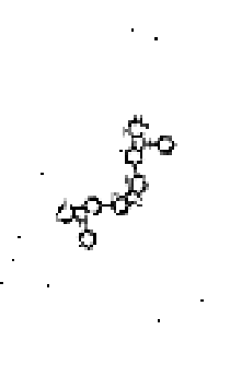 c1ccc(-n2c3cc(-c4ccc5oc6ccc(-c7ccc8c9ncnnc9n(-c9ccccc9)c8c7)nc6c5n4)ccc3c3ncncc32)cc1